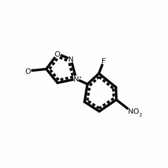 O=[N+]([O-])c1ccc(-[n+]2cc([O-])on2)c(F)c1